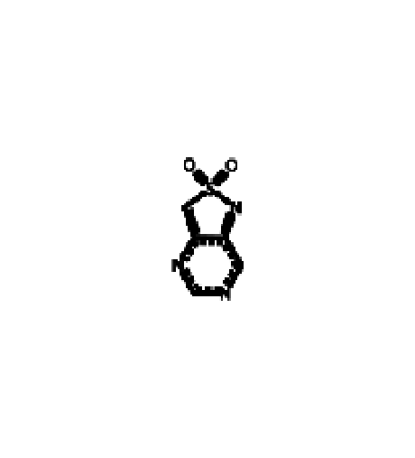 O=S1(=O)C=c2ncncc2=N1